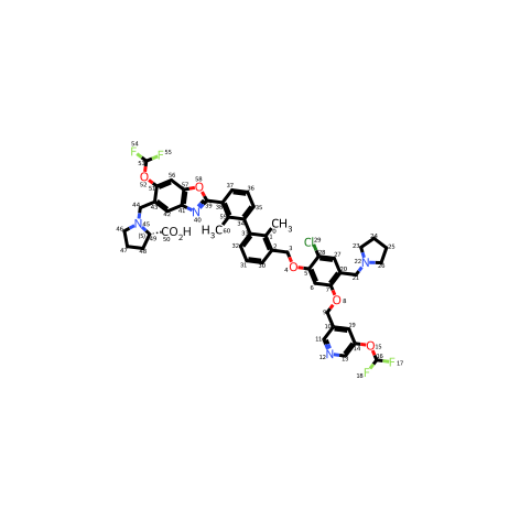 Cc1c(COc2cc(OCc3cncc(OC(F)F)c3)c(CN3CCCC3)cc2Cl)cccc1-c1cccc(-c2nc3cc(CN4CCC[C@H]4C(=O)O)c(OC(F)F)cc3o2)c1C